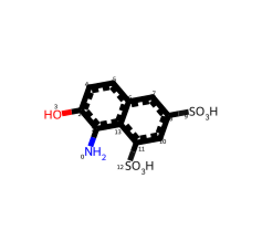 Nc1c(O)ccc2cc(S(=O)(=O)O)cc(S(=O)(=O)O)c12